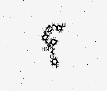 N=c1n(CCCOc2ccc(F)cc2)c2ccccc2n1Cc1ccc(CN2CCN(Cc3cccc(Cl)c3)CC2)cc1